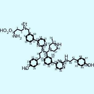 CCN(CC[C@H](N)C(=O)O)Cc1cccc(-c2ccnc(N(CCc3ccc(O)cc3)C(c3cccc(-c4ccnc(NCCc5ccc(O)cc5)n4)c3)N3C[C@@H](C)NC[C@@H]3C)n2)c1